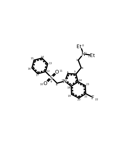 CCN(CC)CCc1cn(CS(=O)(=O)c2ccccc2)c2ccc(F)cc12